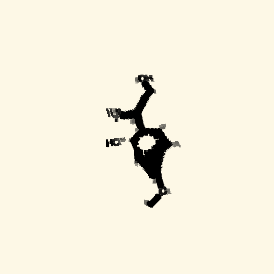 COc1ccc(C(N)CO)cc1.Cl